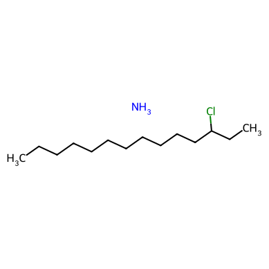 CCCCCCCCCCCC(Cl)CC.N